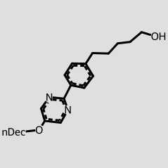 CCCCCCCCCCOc1cnc(-c2ccc(CCCCCO)cc2)nc1